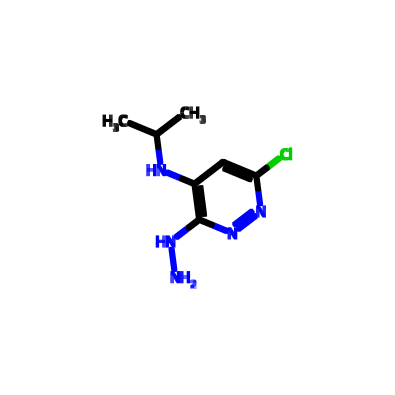 CC(C)Nc1cc(Cl)nnc1NN